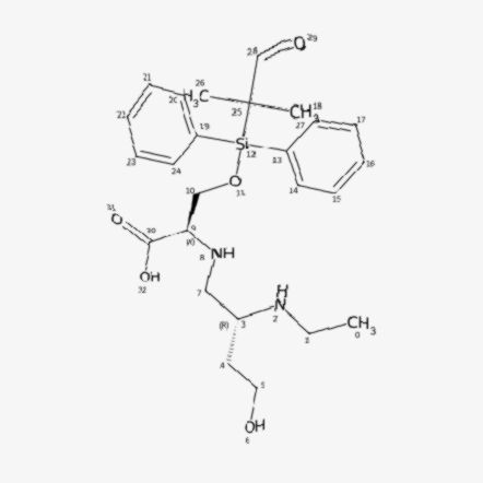 CCN[C@H](CCO)CN[C@H](CO[Si](c1ccccc1)(c1ccccc1)C(C)(C)C=O)C(=O)O